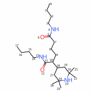 CCCCNC(=O)CCCC(C(=O)NCCCC)C1CC(C)(C)NC(C)(C)C1